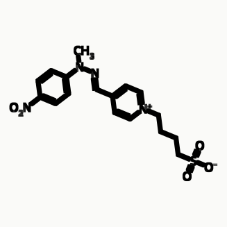 CN(/N=C/c1cc[n+](CCCCS(=O)(=O)[O-])cc1)c1ccc([N+](=O)[O-])cc1